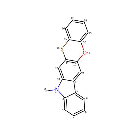 Cn1c2ccccc2c2cc3c(cc21)Sc1ccccc1O3